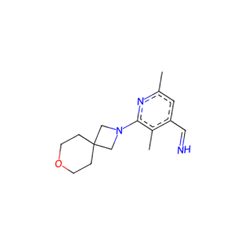 Cc1cc(C=N)c(C)c(N2CC3(CCOCC3)C2)n1